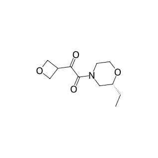 CC[C@@H]1CN(C(=O)C(=O)C2COC2)CCO1